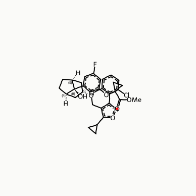 COC(=O)C1(Oc2cc(F)cc([C@]3(O)[C@@H]4CC[C@H]3C[C@H](OCc3c(-c5c(Cl)cccc5Cl)noc3C3CC3)C4)c2)CC1